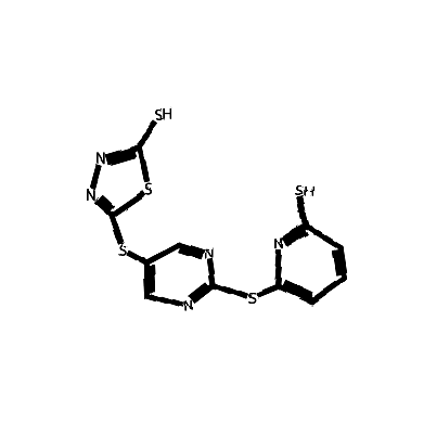 Sc1cccc(Sc2ncc(Sc3nnc(S)s3)cn2)n1